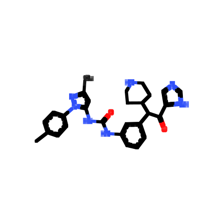 Cc1ccc(-n2nc(C(C)(C)C)cc2NC(=O)Nc2cccc(C(C(=O)c3cnc[nH]3)C3CCNCC3)c2)cc1